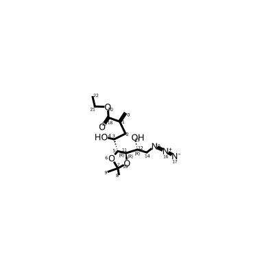 C=C(CC(O)[C@H]1OC(C)(C)O[C@@H]1[C@H](O)CN=[N+]=[N-])C(=O)OCC